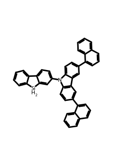 c1ccc2c(c1)[SiH2]c1cc(-n3c4ccc(-c5cccc6ccccc56)cc4c4cc(-c5cccc6ccccc56)ccc43)ccc1-2